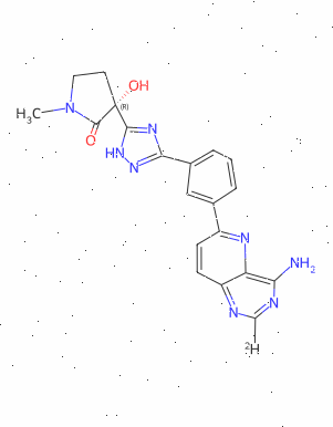 [2H]c1nc(N)c2nc(-c3cccc(-c4n[nH]c([C@]5(O)CCN(C)C5=O)n4)c3)ccc2n1